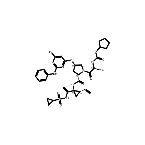 C=C[C@@H]1C[C@]1(NC(=O)[C@@H]1C[C@@H](Oc2cc(Cl)nc(Nc3ccccc3)n2)CN1C(=O)[C@@H](NC(=O)OC1CCCC1)C(C)(C)C)C(=C)NS(=O)(=O)C1CC1